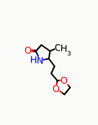 CC1CC(=O)NC1CCC1OCCO1